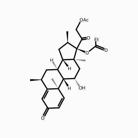 CCC(=O)O[C@]1(C(=O)COC(C)=O)[C@H](C)C[C@H]2[C@@H]3C[C@H](C)C4=CC(=O)C=C[C@]4(C)[C@H]3[C@@H](O)C[C@@]21C